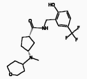 CN(C1CCOCC1)[C@@H]1CC[C@H](C(=O)NCc2cc(C(F)(F)F)ccc2O)C1